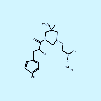 Cl.Cl.NC(Cc1ccc(O)cc1)C(=O)N1C[C@@H](CCB(O)O)C[C@](N)(C(=O)O)C1